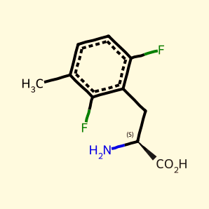 Cc1ccc(F)c(C[C@H](N)C(=O)O)c1F